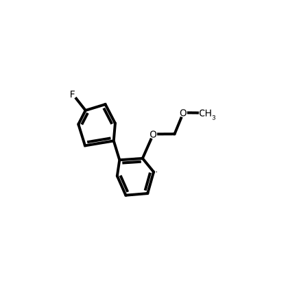 COCOc1[c]cccc1-c1ccc(F)cc1